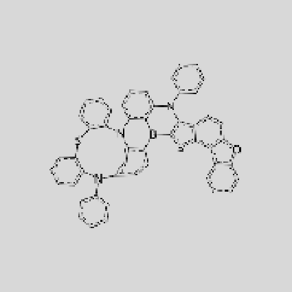 c1ccc(N2c3ccc4c(c3)N(c3ccccc3Sc3ccccc32)c2cccc3c2B4c2sc4c(ccc5oc6ccccc6c54)c2N3c2ccccc2)cc1